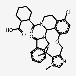 Cn1cnc(COc2ccc(Cl)c3c2C(N2Cc4ccccc4C2=O)N(C(=O)[C@@H]2CCCCC2C(=O)O)CC3)c1C(F)F